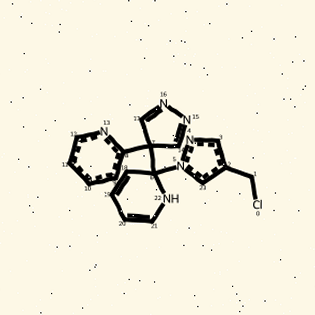 ClCc1cnn(C2(C3(c4ccccn4)C=NN=C3)C=CC=CN2)c1